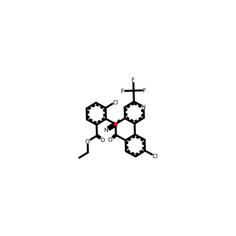 CCOC(=O)c1cccc(Cl)c1N(C)C(=O)c1ccc(Cl)cc1-c1cnc(C(F)(F)F)cc1C#N